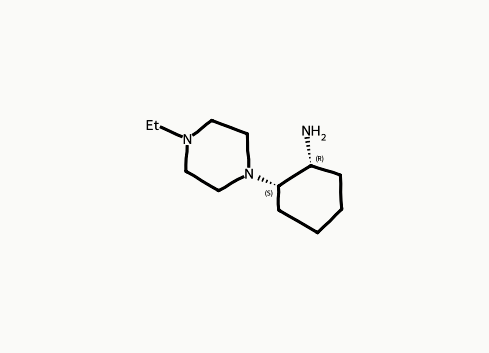 CCN1CCN([C@H]2CCCC[C@H]2N)CC1